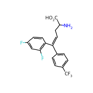 NC(CC=C(c1ccc(C(F)(F)F)cc1)c1ccc(F)cc1F)C(=O)O